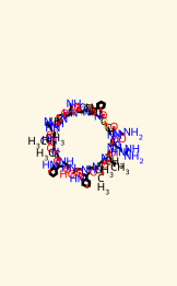 CCCC[C@H]1C(=O)N(C)[C@@H](CCCC)C(=O)N[C@@H](CCCNC(=N)N)C(=O)N[C@H](C(=O)NCC(N)=O)CSCC(=O)N2Cc3ccccc3C[C@H]2C(=O)N(C)[C@@H](C)C(=O)N[C@@H](CC(N)=O)C(=O)N2CCC[C@H]2C(=O)N[C@@H](Cc2cnc[nH]2)C(=O)N[C@@H](CC(C)C)C(=O)N(C)CC(=O)N[C@@H](Cc2c[nH]c3ccccc23)C(=O)N[C@@H](CO)C(=O)N[C@@H](Cc2c[nH]c3ccccc23)C(=O)N1C